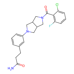 NC(=O)CCc1cccc(N2CC3CN(C(=O)c4c(F)cccc4Cl)CC3C2)c1